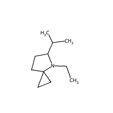 CCN1C(C(C)C)CCC12CC2